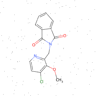 COc1c(Cl)ccnc1CN1C(=O)c2ccccc2C1=O